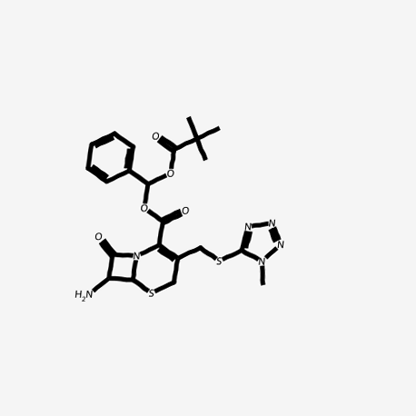 Cn1nnnc1SCC1=C(C(=O)OC(OC(=O)C(C)(C)C)c2ccccc2)N2C(=O)C(N)C2SC1